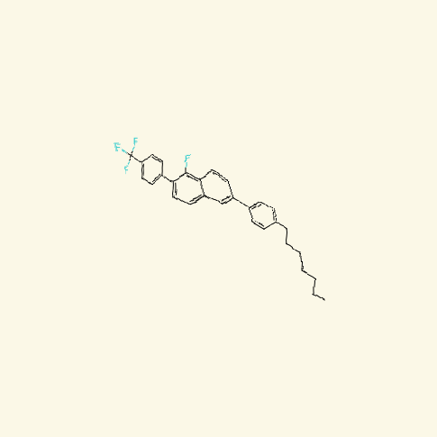 CCCCCCCc1ccc(-c2ccc3c(F)c(-c4ccc(C(F)(F)F)cc4)ccc3c2)cc1